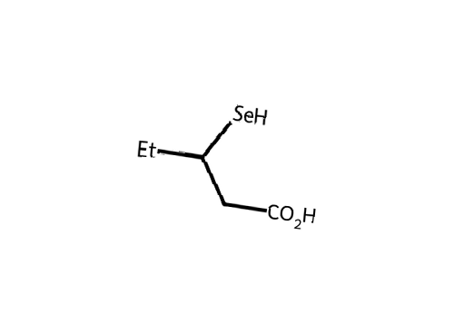 CCC([SeH])CC(=O)O